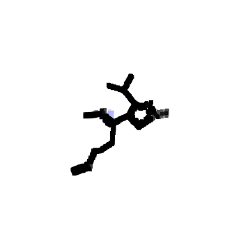 C=NCC/C(=N\C)c1c[nH]nc1C(C)C